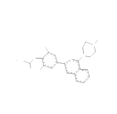 CCN1CCN(c2nc(-c3cc(F)c(OC(C)OC)c(F)c3)cc3ccccc23)CC1.Cl.Cl